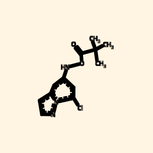 CC(C)(C)C(=O)ONc1cc(Cl)n2nccc2c1